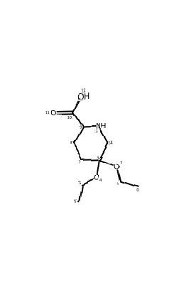 CCOC1(OCC)CCC(C(=O)O)NC1